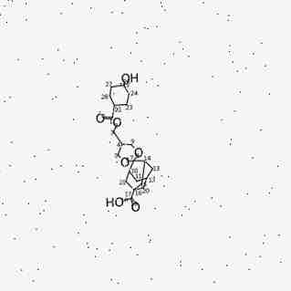 O=C(OCC1COC2(OC1)C1CC3CC2CC(C(=O)O)(C3)C1)C1CCC(O)CC1